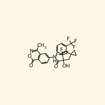 Cc1noc(=O)c2ccc(NC(=O)C(O)(CC3(c4ccccc4C(F)(F)F)CC3)C(F)(F)F)cc12